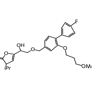 COCCCOc1cc(COCC(O)C2=CC(C(C)C)C(=O)O2)ccc1-c1ccc(F)cc1